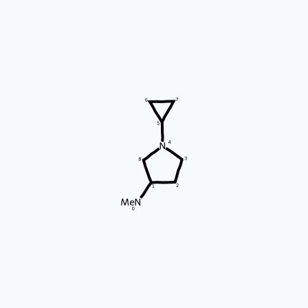 CNC1CCN(C2CC2)C1